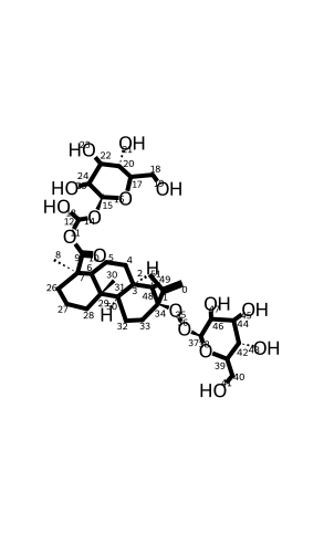 C=C1C[C@@]23CCC4[C@](C)(C(=O)OC(O)O[C@@H]5OC(CO)[C@@H](O)C(O)C5O)CCC[C@@]4(C)[C@@H]2CC[C@]1(OO[C@@H]1OC(CO)[C@@H](O)C(O)C1O)[C@@H]3C